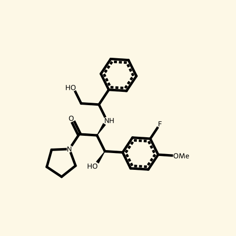 COc1ccc([C@@H](O)[C@H](NC(CO)c2ccccc2)C(=O)N2CCCC2)cc1F